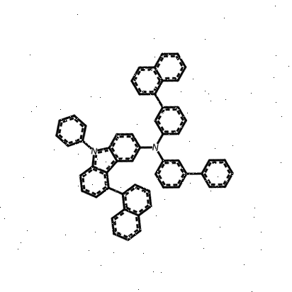 c1ccc(-c2cccc(N(c3cccc(-c4cccc5ccccc45)c3)c3ccc4c(c3)c3c(-c5cccc6ccccc56)cccc3n4-c3ccccc3)c2)cc1